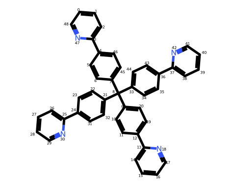 c1ccc(-c2ccc(C(c3ccc(-c4ccccn4)cc3)(c3ccc(-c4ccccn4)cc3)c3ccc(-c4ccccn4)cc3)cc2)nc1